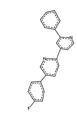 Fc1ccc(-c2ccc(-c3ccnc(-c4ccccc4)c3)nc2)cc1